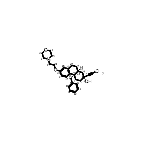 CC#C[C@@]1(O)CC[C@@]2(Cc3ccccc3)c3ccc(OCCN4CCOCC4)cc3CC[C@@H]2C1